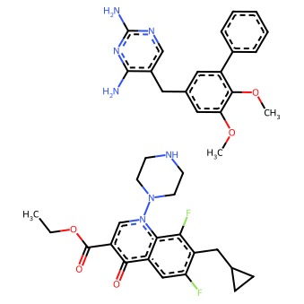 CCOC(=O)c1cn(N2CCNCC2)c2c(F)c(CC3CC3)c(F)cc2c1=O.COc1cc(Cc2cnc(N)nc2N)cc(-c2ccccc2)c1OC